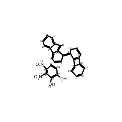 C1=CC2=C(C(=c3cccc4c3=Cc3ccccc3-4)C1)c1ccccc12.O=[N+]([O-])c1ccc(O)c(O)c1[N+](=O)[O-]